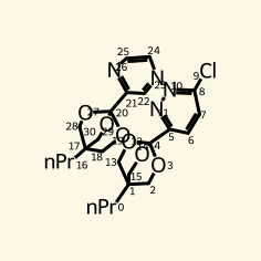 CCCC12COC(c3ccc(Cl)nn3)(OC1)OC2.CCCC12COC(c3cnccn3)(OC1)OC2